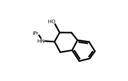 CC(C)NC1Cc2ccccc2CC1O